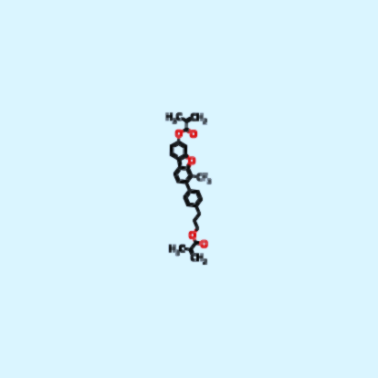 C=C(C)C(=O)OCCCc1ccc(-c2ccc3c(oc4cc(OC(=O)C(=C)C)ccc43)c2C(F)(F)F)cc1